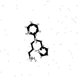 NCCCN(Cc1cccs1)c1ccccn1